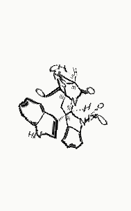 CN1C(=O)[C@@]23C[C@]4(c5c[nH]c6ccccc56)c5ccccc5N([SH](=O)=O)[C@@H]4N2C(=O)[C@@H]1S3